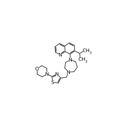 CC(C)c1ccc2cccnc2c1N1CCCN(Cc2csc(N3CCOCC3)n2)CC1